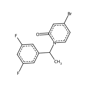 CC(c1cc(F)cc(F)c1)n1ccc(Br)cc1=O